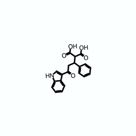 O=C(CC(c1ccccc1)C(C(=O)O)C(=O)O)c1c[nH]c2ccccc12